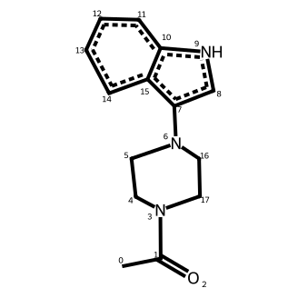 CC(=O)N1CCN(c2c[nH]c3ccccc23)CC1